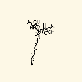 C#CCOCCOCCOCCOCCNC(=O)CN(CC(=O)NC(CCC(C)C)C(=O)O)CC(=O)N[C@H](CCC(C)C)C(=O)O